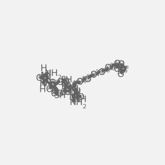 Nc1nc2c(ncn2C2OC3COP(=O)(S)OC4C(COP(=O)(S)OC3C2O)OC(n2cnc3c(=O)[nH]c(N)nc32)C4NC(=O)CCOCCOCCOCCOCCOCCC(=O)ON2C(=O)CCC2=O)c(=O)[nH]1